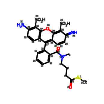 CCSC(=O)CCCN(C)C(=O)c1ccccc1-c1c2ccc(=N)c(S(=O)(=O)O)c-2oc2c(S(=O)(=O)O)c(N)ccc12